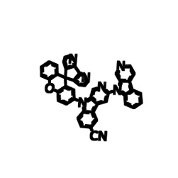 N#Cc1ccc2c(c1)c1cc(-n3c4ccccc4c4ccncc43)ncc1n2-c1ccc2c(c1)C1(c3ccccc3O2)c2cccnc2-c2ncccc21